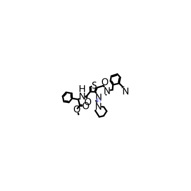 COC(=O)C(NC(=O)c1csc(C(=O)N(C)Cc2ccccc2C#N)c1/N=C/N1CCCCC1)c1ccccc1